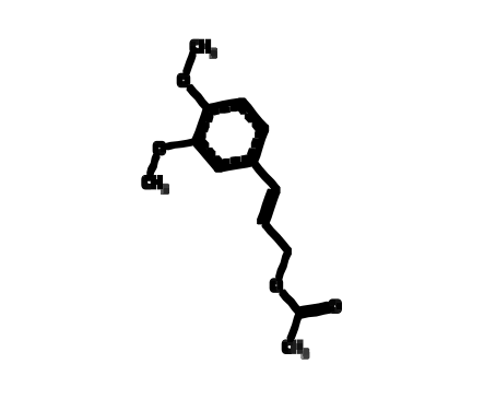 COc1ccc(C=CCOC(C)=O)cc1OC